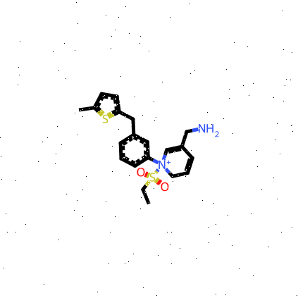 CCS(=O)(=O)[N+]1(c2cccc(Cc3ccc(C)s3)c2)C=C(CN)C=CC1